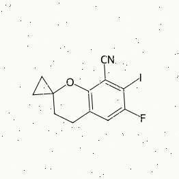 N#Cc1c(I)c(F)cc2c1OC1(CC2)CC1